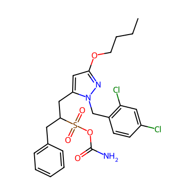 CCCCOc1cc(CC(Cc2ccccc2)S(=O)(=O)OC(N)=O)n(Cc2ccc(Cl)cc2Cl)n1